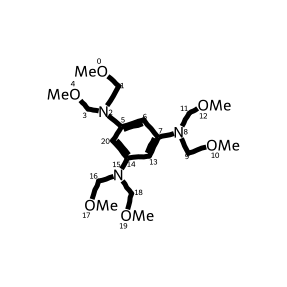 COCN(COC)c1cc(N(COC)COC)cc(N(COC)COC)c1